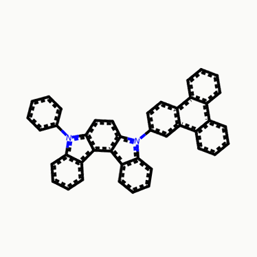 c1ccc(-n2c3ccccc3c3c4c5ccccc5n(-c5ccc6c7ccccc7c7ccccc7c6c5)c4ccc32)cc1